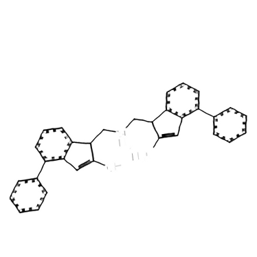 CC1=Cc2c(-c3ccccc3)cccc2C1C[SiH2]CC1C(C)=Cc2c(-c3ccccc3)cccc21